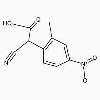 Cc1cc([N+](=O)[O-])ccc1C(C#N)C(=O)O